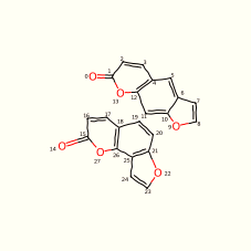 O=c1ccc2cc3ccoc3cc2o1.O=c1ccc2ccc3occc3c2o1